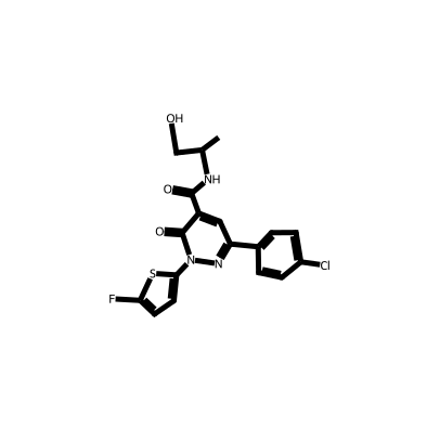 CC(CO)NC(=O)c1cc(-c2ccc(Cl)cc2)nn(-c2ccc(F)s2)c1=O